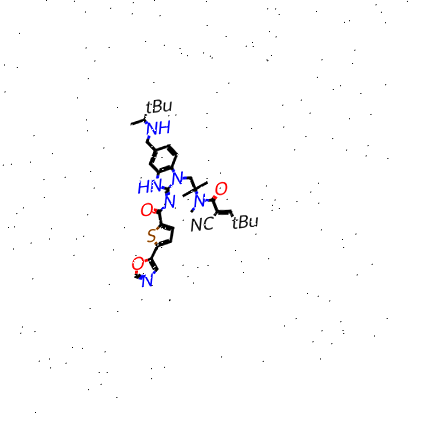 C[C@H](NCc1ccc2c(c1)[nH]/c(=N\C(=O)c1ccc(-c3cnco3)s1)n2CC(C)(C)N(C)C(=O)/C(C#N)=C/C(C)(C)C)C(C)(C)C